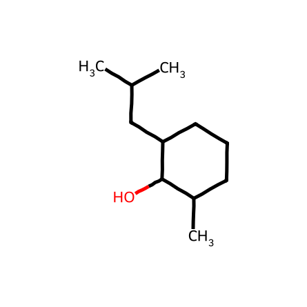 CC(C)CC1CCCC(C)C1O